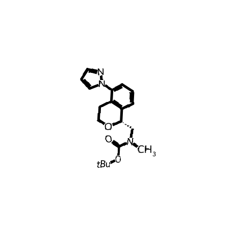 CN(C[C@@H]1OCCc2c1cccc2-n1cccn1)C(=O)OC(C)(C)C